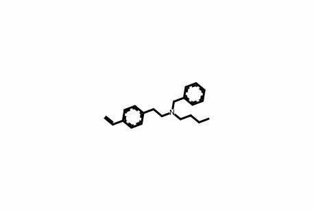 C=Cc1ccc(CCN(CCCC)Cc2ccccc2)cc1